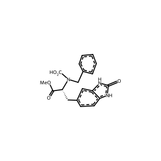 COC(=O)[C@@H](Cc1ccc2[nH]c(=O)[nH]c2c1)N(Cc1ccccc1)C(=O)O